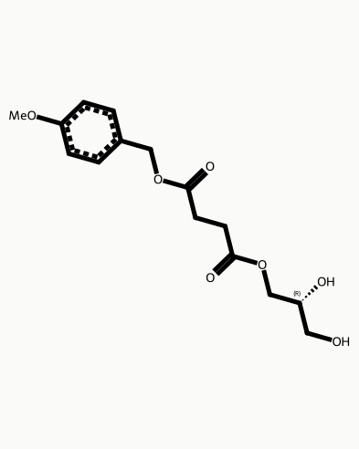 COc1ccc(COC(=O)CCC(=O)OC[C@H](O)CO)cc1